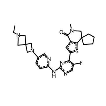 CCN1CC2(C1)CN(c1ccc(Nc3ncc(F)c(-c4cc5c(s4)C4(CCCC4)CN(C)C5=O)n3)nc1)C2